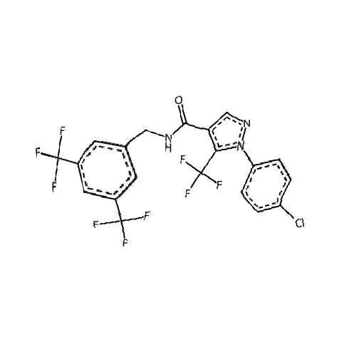 O=C(NCc1cc(C(F)(F)F)cc(C(F)(F)F)c1)c1cnn(-c2ccc(Cl)cc2)c1C(F)(F)F